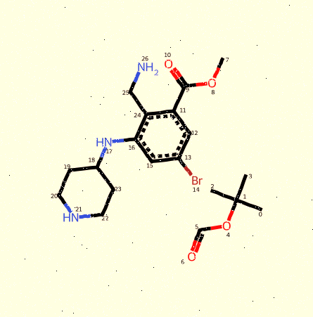 CC(C)(C)OC=O.COC(=O)c1cc(Br)cc(NC2CCNCC2)c1CN